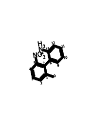 Cc1cccc([N+](=O)[O-])c1-c1ccccc1N